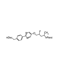 CCCCCCCCCCCc1ccc(-c2ncc(OCC(F)CC(C)CCCCC)cn2)cc1